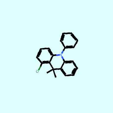 CC1(C)c2ccccc2N(c2ccccc2)c2cccc(Cl)c21